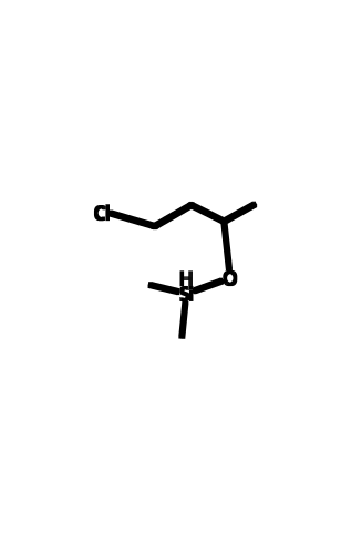 CC(CCCl)O[SiH](C)C